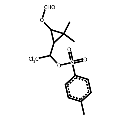 Cc1ccc(S(=O)(=O)OC(C2C(OC=O)C2(C)C)C(Cl)(Cl)Cl)cc1